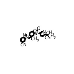 CC(C)(C#N)c1ccc(N2C[C@@]3(CCC[C@](C)(Cn4cnc5ccc(C#N)cc54)C3)OC2=O)cn1